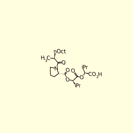 CCCCCCCC[C@H](C)C(=O)N1CCC[C@H]1C(=O)O[C@@H](C(=O)O[C@H](C(=O)O)C(C)C)C(C)C